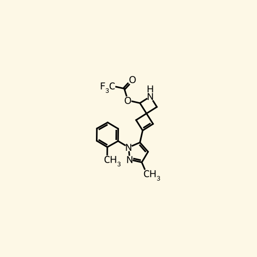 Cc1cc(C2=CC3(CNC3OC(=O)C(F)(F)F)C2)n(-c2ccccc2C)n1